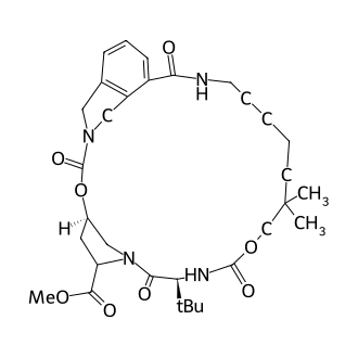 COC(=O)C1C[C@@H]2CN1C(=O)[C@H](C(C)(C)C)NC(=O)OCC(C)(C)CCCCCNC(=O)c1cccc3c1CN(C3)C(=O)O2